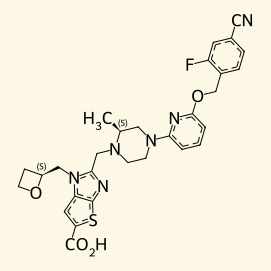 C[C@H]1CN(c2cccc(OCc3ccc(C#N)cc3F)n2)CCN1Cc1nc2sc(C(=O)O)cc2n1C[C@@H]1CCO1